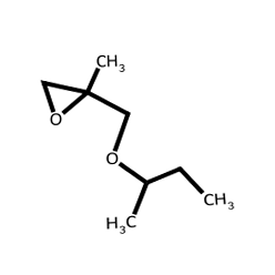 CCC(C)OCC1(C)CO1